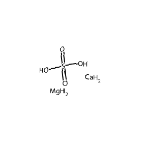 O=S(=O)(O)O.[CaH2].[MgH2]